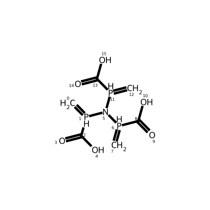 C=[PH](C(=O)O)N([PH](=C)C(=O)O)[PH](=C)C(=O)O